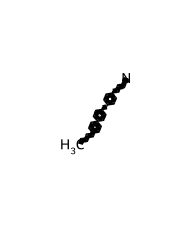 CCCCCc1ccc([C@H]2CC[C@H](CC[C@H]3CC[C@H](CCC=CC#N)CC3)CC2)cc1